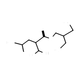 CCC(CO)COC(=O)C(CC(C)C)C(C)C